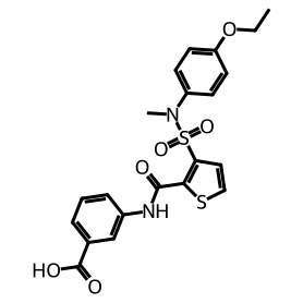 CCOc1ccc(N(C)S(=O)(=O)c2ccsc2C(=O)Nc2cccc(C(=O)O)c2)cc1